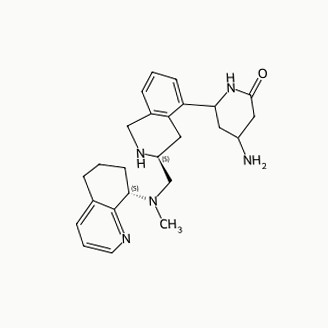 CN(C[C@@H]1Cc2c(cccc2C2CC(N)CC(=O)N2)CN1)[C@H]1CCCc2cccnc21